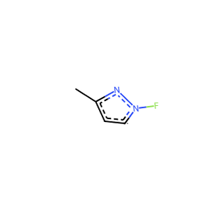 Cc1c[c]n(F)n1